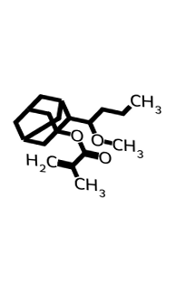 C=C(C)C(=O)OC12CC3CC(CC(C3)C1C(CCC)OC)C2